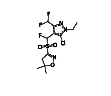 CCn1nc(C(F)F)c(C(F)S(=O)(=O)C2=NOC(C)(C)C2)c1Cl